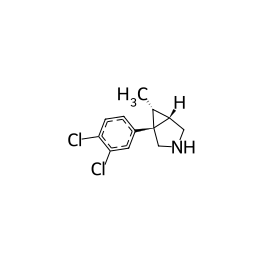 C[C@@H]1[C@@H]2CNC[C@]12c1ccc(Cl)c(Cl)c1